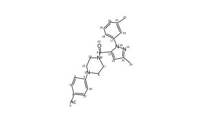 CC(=O)c1ccc(N2CCN(C(=O)c3cc(C)nn3-c3cccc(C)c3)CC2)cc1